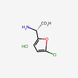 Cl.N[C@H](C(=O)O)c1ccc(Cl)o1